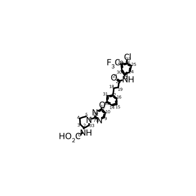 O=C(O)NC1CCCN(c2nccc(Oc3cccc(CCC(=O)Nc4ccc(Cl)c(C(F)(F)F)c4)c3)n2)C1